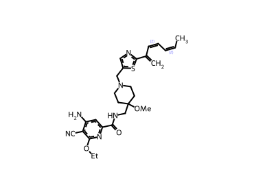 C=C(/C=C\C=C/C)c1ncc(CN2CCC(CNC(=O)c3cc(N)c(C#N)c(OCC)n3)(OC)CC2)s1